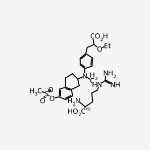 CCOC(Cc1ccc(N(C)C2CCc3cc(OS(C)(=O)=O)ccc3C2)cc1)C(=O)O.N=C(N)NCCC[C@H](N)C(=O)O